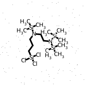 C[Si](C)(C)N(CCC[Si](Cl)(Cl)Cl)CCN([Si](C)(C)C)[Si](C)(C)C